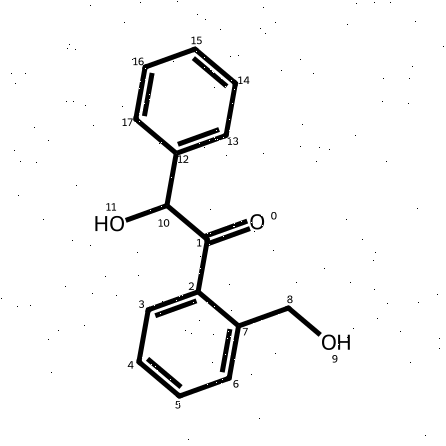 O=C(c1ccccc1CO)C(O)c1ccccc1